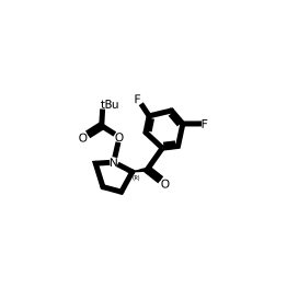 CC(C)(C)C(=O)ON1CCC[C@@H]1C(=O)c1cc(F)cc(F)c1